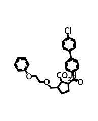 O=C(c1ccc(-c2ccc(Cl)cc2)cc1)C1CCC(COCCOc2ccccc2)C1C(=O)O